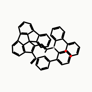 C=CC1=C(/C=C(\C)N(c2ccccc2-c2ccccc2)c2ccccc2-c2ccccc2)C23c4ccccc4-c4cccc(c42)-c2cccc1c23